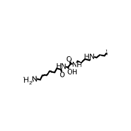 NCCCCCCC(=O)NC(O)C(=O)NCCCCNCCCI